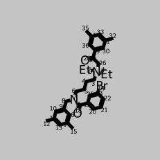 CC[N+](CC)(CCCCN(Cc1cc(C)cc(C)c1)C(=O)c1cccc(Br)c1)CC(=O)c1cc(C)cc(C)c1